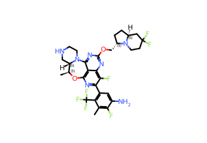 Cc1c(F)c(N)cc(-c2nc3c4c(nc(OC[C@@H]5CC[C@H]6CC(F)(F)CCN56)nc4c2F)N2CCNC[C@H]2[C@H](C)O3)c1C(F)(F)F